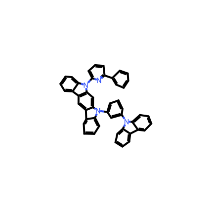 c1ccc(-c2cccc(-n3c4ccccc4c4cc5c6ccccc6n(-c6cccc(-n7c8ccccc8c8ccccc87)c6)c5cc43)n2)cc1